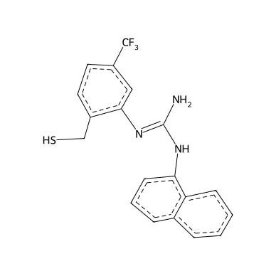 NC(=Nc1cc(C(F)(F)F)ccc1CS)Nc1cccc2ccccc12